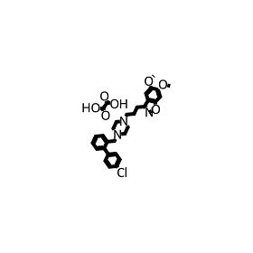 COc1cc2onc(CCCN3CCN(Cc4ccccc4-c4ccc(Cl)cc4)CC3)c2cc1OC.O=C(O)C(=O)O